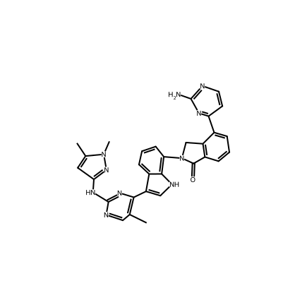 Cc1cnc(Nc2cc(C)n(C)n2)nc1-c1c[nH]c2c(N3Cc4c(cccc4-c4ccnc(N)n4)C3=O)cccc12